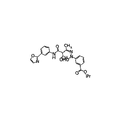 C/C(=N/N(C=O)c1cccc(C(=O)OC(C)C)c1)C(C)C(=O)Nc1cccc(-c2ncco2)c1